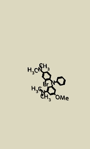 COc1cc(N(C)C)cc(N(c2ccccc2)c2ccc(N(C)C)cc2Br)c1